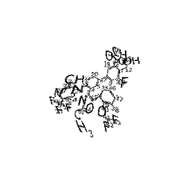 Cc1nc(-c2cc(-c3cc(F)c(CO)c(S(C)(=O)=O)c3)ccc2-n2cc(C(F)(F)F)nc2C)c(-c2ccccc2OC(F)F)o1